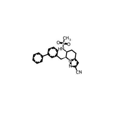 CS(=O)(=O)N[C@H]1CCc2cc(C#N)nn2[C@H]1Cc1cccc(-c2ccccc2)c1